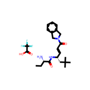 CC[C@H](N)C(=O)N[C@H](/C=C/C(=O)N1Cc2ccccc2C1)CC(C)(C)C.O=C(O)C(F)(F)F